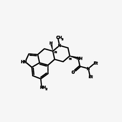 CCN(CC)C(=O)N[C@H]1CC2c3cc(N)cc4[nH]cc(c34)C[C@H]2N(C)C1